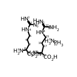 N.N=C(N)NCCCC(N)C(=O)O.N=C(N)NCCCC(N)C(=O)O.P